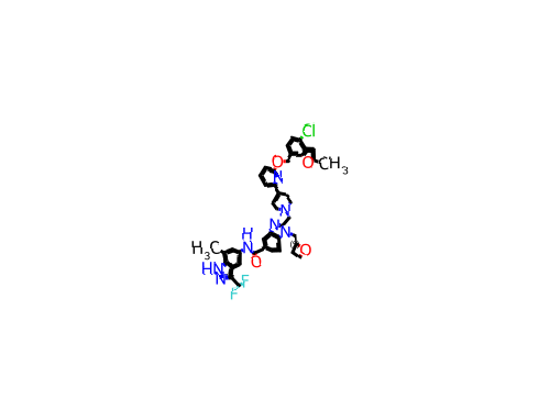 Cc1cc2c(Cl)ccc(COc3cccc(C4=CCN(Cc5nc6cc(C(=O)Nc7cc(C)c8[nH]nc(C(F)F)c8c7)ccc6n5C[C@@H]5CCO5)CC4)n3)c2o1